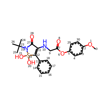 COc1ccc(OC(=O)CNC2=C(c3ccccc3)S(O)(O)N(C(C)(C)C)C2=O)cc1